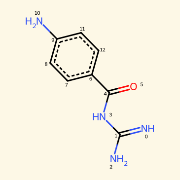 N=C(N)NC(=O)c1ccc(N)cc1